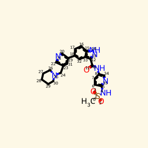 CS(=O)(=O)Nc1ccc(NC(=O)c2n[nH]c3ccc(-c4cncc(CN5CCCCC5)c4)cc23)cn1